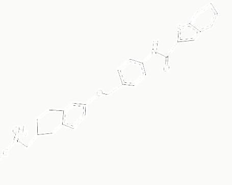 CN(C)CC1CCc2cc(OCc3ccc(NC(=O)c4cc5ccccc5s4)cc3)ccc2C1